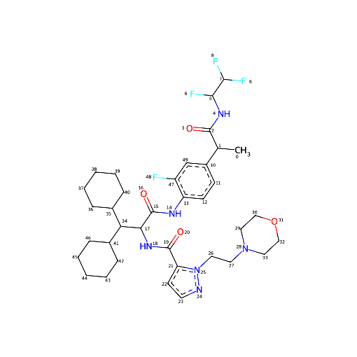 CC(C(=O)NC(F)C(F)F)c1ccc(NC(=O)C(NC(=O)c2ccnn2CCN2CCOCC2)C(C2CCCCC2)C2CCCCC2)c(F)c1